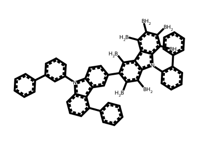 Bc1c(B)c(B)c2c(c1B)c1c(B)c(-c3ccc4c(c3)c3c(-c5ccccc5)cccc3n4-c3cccc(-c4ccccc4)c3)c(B)c(B)c1n2-c1ccccc1-c1ccccc1